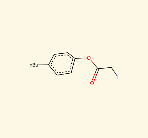 CCCCc1ccc(OC(=O)CI)cc1